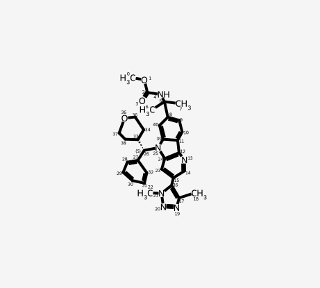 COC(=O)NC(C)(C)c1ccc2c3ncc(-c4c(C)nnn4C)cc3n([C@H](c3ccccc3)C3CCOCC3)c2c1